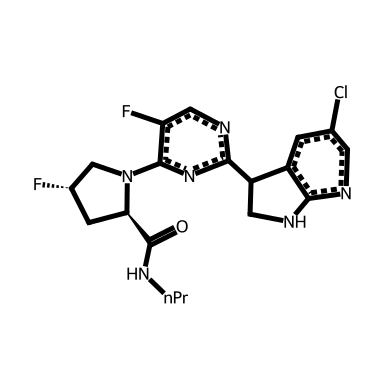 CCCNC(=O)[C@H]1C[C@H](F)CN1c1nc(C2CNc3ncc(Cl)cc32)ncc1F